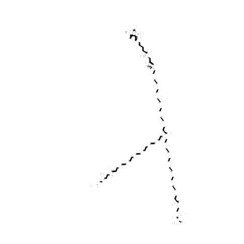 CC(C)(C)OC(=O)NCCNC(=O)CCOCCOCCOCCOCCOCCOCCN(CCOCCOCCOCCOCCOCCOCCC(=O)NCCNC(=O)OC(C)(C)C)C(=O)CCOCCOCCOCCOCCOCCOCCn1cc(CNC(=O)CCCC[C@@H]2SC[C@@H]3NC(=O)N[C@@H]32)nn1